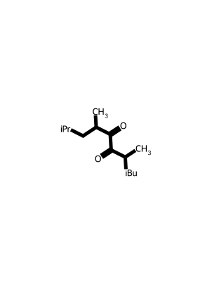 CCC(C)C(C)C(=O)C(=O)C(C)CC(C)C